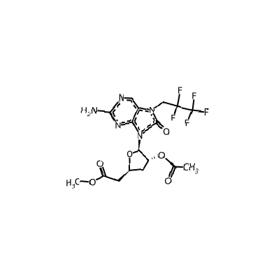 COC(=O)C[C@@H]1C[C@@H](OC(C)=O)[C@H](n2c(=O)n(CC(F)(F)C(F)(F)F)c3cnc(N)nc32)O1